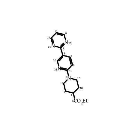 CCOC(=O)C1CCN(c2ccc(-c3ncccn3)cn2)CC1